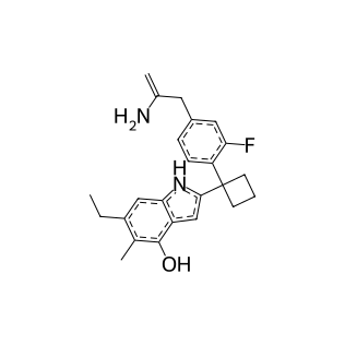 C=C(N)Cc1ccc(C2(c3cc4c(O)c(C)c(CC)cc4[nH]3)CCC2)c(F)c1